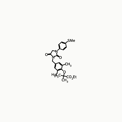 CCOC(=O)C(C)(C)Oc1c(C)cc(CN2C(=O)CN(c3ccc(SC)cc3)C2=O)cc1C